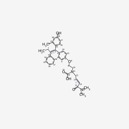 CC/C(=C(/c1ccc(OCCN(C/C=C/C(=O)N(C)C)C(=O)O)cc1)c1ccc(O)cc1C)c1ccccc1